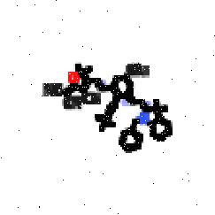 CC1(C)OC(=C(C#N)C#N)C(C#N)=C1/C=C/C1=C(C#C[Si](C)(C)C)C(=C/C=C2\N(Cc3ccccc3)c3ccccc3C2(C)C)/CC(C(C)(C)C)C1